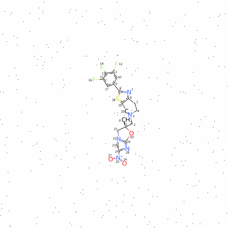 C[C@]1(CN2CCc3nc(-c4cc(F)c(F)c(F)c4)sc3C2)Cn2cc([N+](=O)[O-])nc2O1